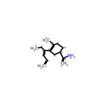 C=C/C=C(/CC)C1=C(C)CCC(C(=C)N)C1